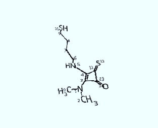 CN(C)c1c(NCCCCS)c(=S)c1=O